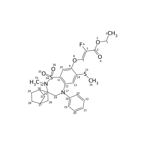 CCOC(=O)/C(F)=C/Oc1cc2c(cc1SC)N(c1ccccc1)CC1(CC3CCC1C3)N(C)S2(=O)=O